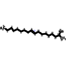 CCCCCCCC/C=C/CCCCCCC(C)[NH]